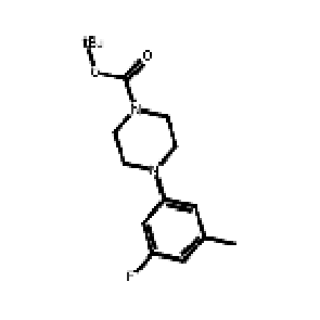 Cc1cc(F)cc(N2CCN(C(=O)OC(C)(C)C)CC2)c1